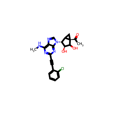 CNc1nc(C#Cc2ccccc2Cl)nc2c1ncn2[C@@H]1C2C[C@]2(C(C)=O)C(O)[C@H]1O